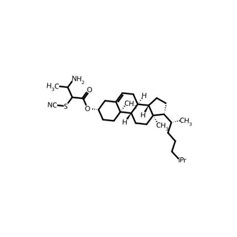 CC(C)CCC[C@@H](C)[C@H]1CC[C@H]2[C@@H]3CC=C4C[C@@H](OC(=O)C(SC#N)C(C)N)CC[C@]4(C)[C@H]3CC[C@]12C